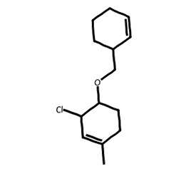 CC1=CC(Cl)C(OCC2C=CCCC2)CC1